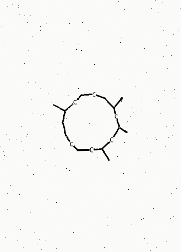 CC1CCCCCC(C)CC(C)CC(C)CCCC1